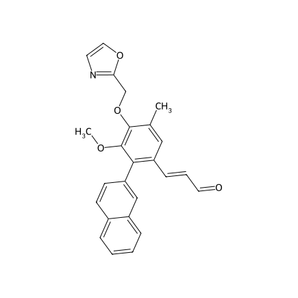 COc1c(OCc2ncco2)c(C)cc(C=CC=O)c1-c1ccc2ccccc2c1